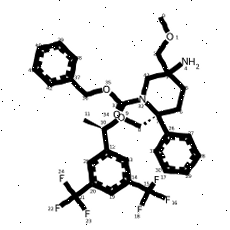 COCC1(N)CC[C@@](CO[C@H](C)c2cc(C(F)(F)F)cc(C(F)(F)F)c2)(c2ccccc2)N(C(=O)OCc2ccccc2)C1